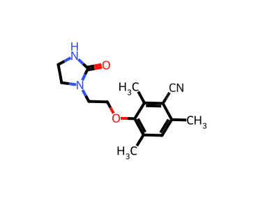 Cc1cc(C)c(OCCN2CCNC2=O)c(C)c1C#N